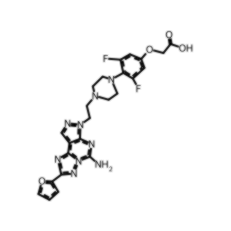 Nc1nc2c(cnn2CCN2CCN(c3c(F)cc(OCC(=O)O)cc3F)CC2)c2nc(-c3ccco3)nn12